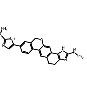 PPc1ncc(-c2ccc3c(c2)COc2cc4c(cc2-3)CCc2nc(PP)[nH]c2-4)[nH]1